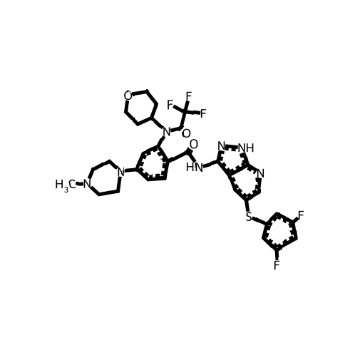 CN1CCN(c2ccc(C(=O)Nc3n[nH]c4ncc(Sc5cc(F)cc(F)c5)cc34)c(N(C(=O)C(F)(F)F)C3CCOCC3)c2)CC1